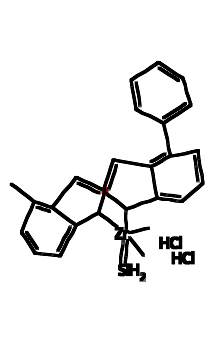 Cc1cccc2c1C=C[CH]2[Zr]([CH3])([CH3])(=[SiH2])[CH]1C=Cc2c(-c3ccccc3)cccc21.Cl.Cl